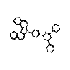 c1ccc(-c2cc(-c3ccccc3)nc(-c3ccc(-n4c5ccc6ccccc6c5c5c6ccccc6ccc54)cc3)c2)cc1